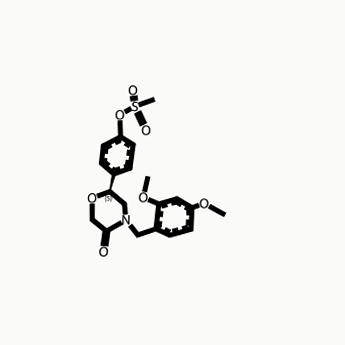 COc1ccc(CN2C[C@H](c3ccc(OS(C)(=O)=O)cc3)OCC2=O)c(OC)c1